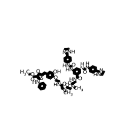 CCOC(=O)C1=C(Nc2ccccc2)S/C(=C\c2ccc(OCCNC(=O)CN(C)C(=O)CN(C)C(=O)CNC(=O)c3cc(NC(=O)Nc4ccc(C5=NCCN5)cc4)cc(NC(=O)Nc4ccc(C5=NCCN5)cc4)c3)c(O)c2)C1=O